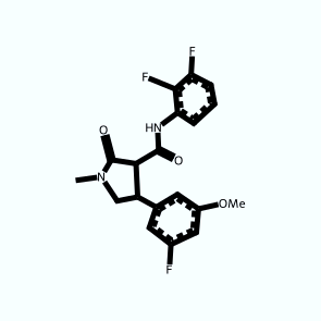 COc1cc(F)cc(C2CN(C)C(=O)C2C(=O)Nc2cccc(F)c2F)c1